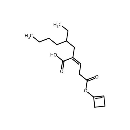 CCCCC(CC)CC(=CCC(=O)OC1=CCC1)C(=O)O